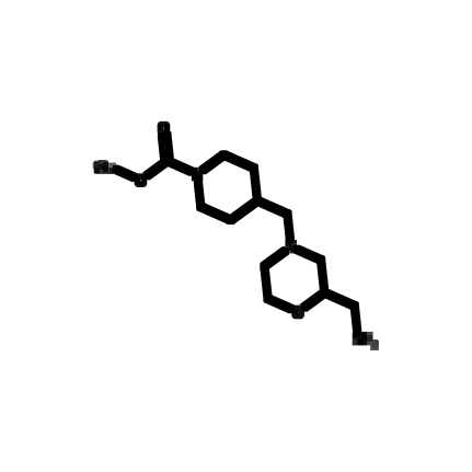 CC(C)(C)OC(=O)N1CCC(CN2CCOC(CN)C2)CC1